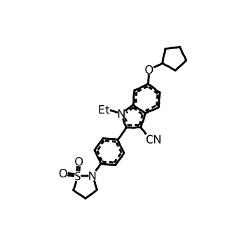 CCn1c(-c2ccc(N3CCCS3(=O)=O)cc2)c(C#N)c2ccc(OC3CCCC3)cc21